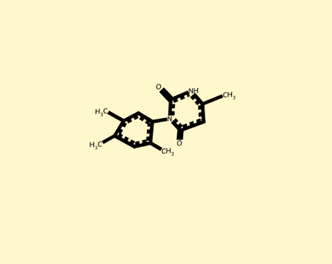 Cc1cc(=O)n(-c2cc(C)c(C)cc2C)c(=O)[nH]1